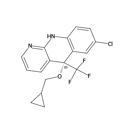 FC(F)(F)[C@]1(OCC2CC2)c2cc(Cl)ccc2Nc2ncccc21